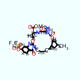 COC(=O)[C@@H]1C[C@@H]2CN1C(=O)[C@H](C(C)(C)C)NC(=O)O[C@@H]1C[C@H](C)C[C@H]1CCCCCn1c(nc3cc(OS(=O)(=O)C(F)(F)F)ccc3c1=O)O2